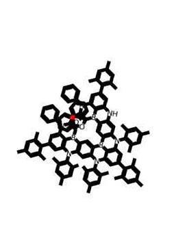 Cc1cc(C)c(-c2cc3c4c(c2)N(c2ccccc2)c2c(oc5ccccc25)B4c2cc4c(cc2N3)N(c2c(C)cc(C)cc2C)c2cc(-c3c(C)cc(C)cc3C)cc3c2B4c2cc4c(cc2N3c2c(C)cc(C)cc2C)N(c2c(C)cc(C)cc2C)c2cc(-c3c(C)cc(C)cc3C)cc3c2B4c2oc4ccccc4c2N3c2ccccc2)c(C)c1